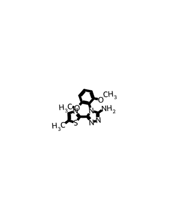 COc1cccc(OC)c1-n1c(N)nnc1-c1ncc(C)s1